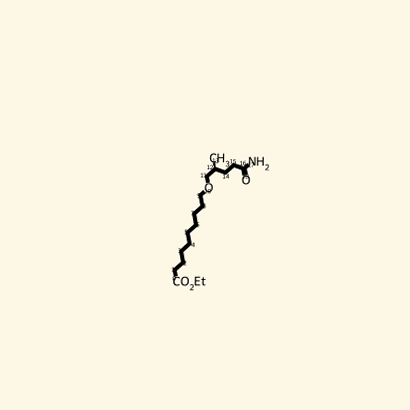 CCOC(=O)CCCCCCCCCOC[C@@H](C)CCC(N)=O